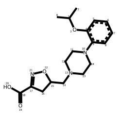 CC(C)Oc1ccccc1N1CCN(CC2CC(C(=O)O)=NO2)CC1